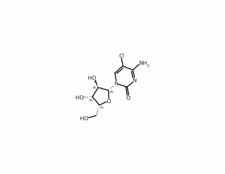 Nc1nc(=O)n([C@@H]2O[C@H](CO)[C@H](O)[C@H]2O)cc1Cl